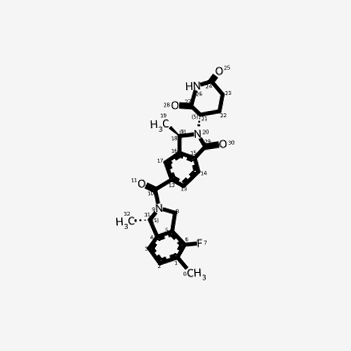 Cc1ccc2c(c1F)CN(C(=O)c1ccc3c(c1)[C@@H](C)N([C@H]1CCC(=O)NC1=O)C3=O)[C@H]2C